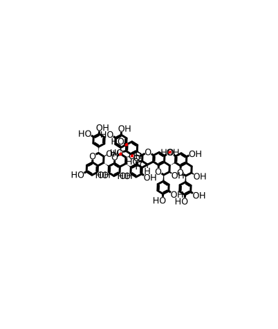 Oc1cc(O)c2c(c1)O[C@H](c1ccc(O)c(O)c1)[C@H](O)[C@@H]2c1c(O)cc(O)c2c1O[C@H](c1ccc(O)c(O)c1)[C@H](O)[C@@H]2c1c(O)cc(O)c2c1O[C@]1(c3ccc(O)c(O)c3)Oc3cc(O)c4c(c3[C@@H]2[C@H]1O)O[C@H](c1ccc(O)c(O)c1)[C@H](O)[C@H]4c1c(O)cc(O)c2c1O[C@H](c1ccc(O)c(O)c1)[C@H](O)C2